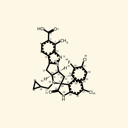 Cc1c(C(=O)O)ccc2c3n(nc12)[C@@H]1[C@H](C3)N(CC2CC2)[C@@]2(C(=O)Nc3cc(Cl)ccc32)[C@H]1c1cccc(Cl)c1F